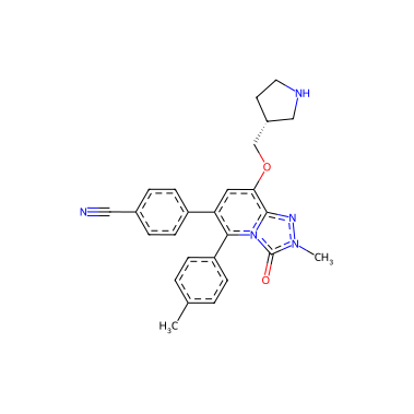 Cc1ccc(-c2c(-c3ccc(C#N)cc3)cc(OC[C@@H]3CCNC3)c3nn(C)c(=O)n23)cc1